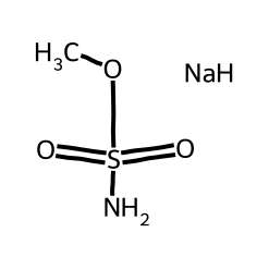 COS(N)(=O)=O.[NaH]